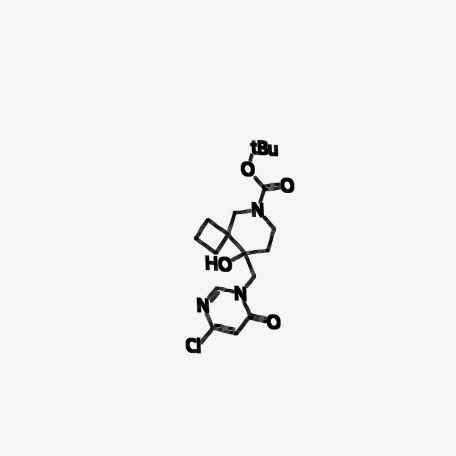 CC(C)(C)OC(=O)N1CCC(O)(Cn2cnc(Cl)cc2=O)C2(CCC2)C1